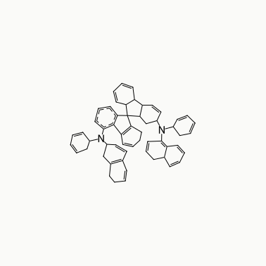 C1=CCC(N(C2=C3C=CC=CC3CC=C2)C2C=CC3C4C=CC=CC4C4(C5=C(C=CCC5)c5c(N(C6C=CC=CC6)C6C=CC7=C(CCC=C7)C6)cccc54)C3C2)C=C1